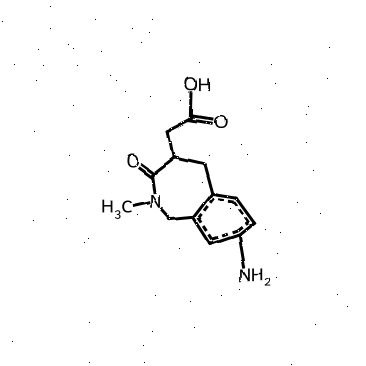 CN1Cc2cc(N)ccc2CC(CC(=O)O)C1=O